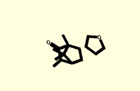 C1CCOC1.CC1C(=O)C2(C)CCC1C2(C)C